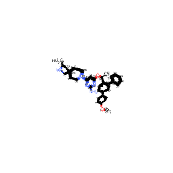 CC(C)Oc1ccc(-c2ccc([C@@H](Oc3cc(N4CCC5(CC4)CNC(C(=O)O)C5)nc(N)n3)C(F)(F)F)c(-c3ccccc3)c2)cc1